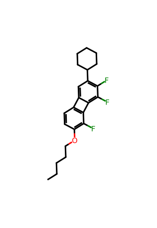 CCCCCOc1ccc2c(c1F)-c1c-2cc(C2CCCCC2)c(F)c1F